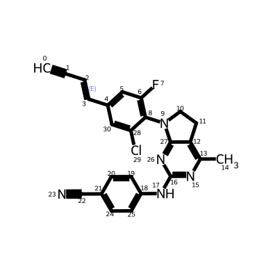 C#C/C=C/c1cc(F)c(N2CCc3c(C)nc(Nc4ccc(C#N)cc4)nc32)c(Cl)c1